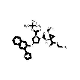 C=C[C@@H]1C[C@]1(NC(=O)[C@@H]1C[C@@H](Oc2cc3ccccc3cc2-c2cccs2)CN1C(=O)OC(C)(C)C)C(=O)OCC